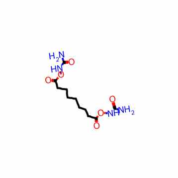 NC(=O)NOC(=O)CCCCCCCC(=O)ONC(N)=O